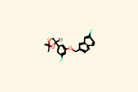 CCC1(c2cc(F)cc(OCc3ccc4ccc(F)cc4c3)c2)COC(C)(C)O1